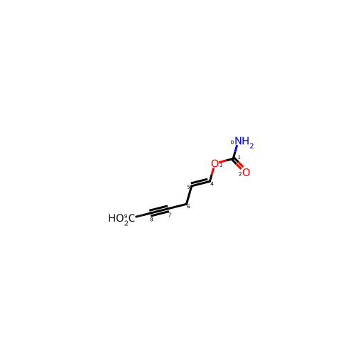 NC(=O)O/C=C/CC#CC(=O)O